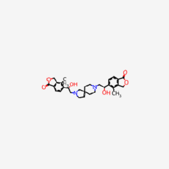 Cc1c([C@@H](O)CN2CCC3(CC2)CCN(C[C@H](O)c2ccc4c(c2C)COC4=O)C3)ccc2c1COC2=O